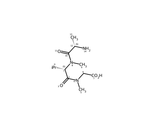 CC(C)[C@@H](C(=O)N(C)CC(=O)O)N(C)C(=O)[C@H](C)N